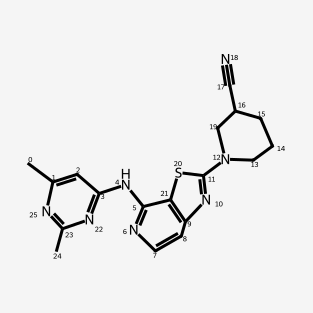 Cc1cc(Nc2nccc3nc(N4CCCC(C#N)C4)sc23)nc(C)n1